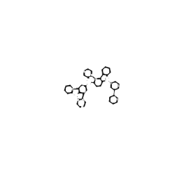 c1ccc(-c2cccc(-n3c4ccccc4c4c5c6ccccc6n(-c6cc7c8ccccc8n8c9ccccc9c(c6)c78)c5ccc43)c2)cc1